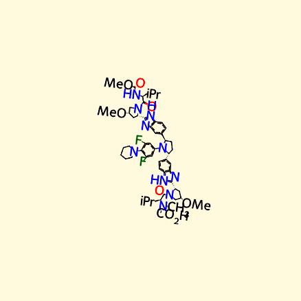 COC(=O)N[C@H](C(=O)N1C[C@@H](OC)C[C@H]1c1nc2cc([C@H]3CC[C@H](c4ccc5[nH]c([C@@H]6C[C@H](OC)CN6C(=O)[C@H](C(C)C)N(C)C(=O)O)nc5c4)N3c3cc(F)c(N4CCCCC4)c(F)c3)ccc2[nH]1)C(C)C